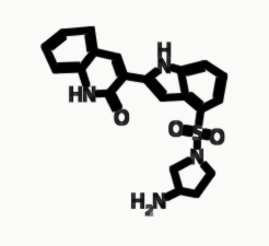 NC1CCN(S(=O)(=O)c2cccc3[nH]c(-c4cc5ccccc5[nH]c4=O)cc23)C1